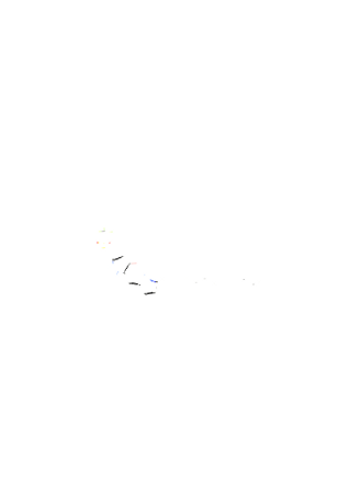 CCCCCCCCCCCC1=NC(=Cc2[nH]c(OS(=O)(=O)C(F)(F)F)cc2OC)C=C1